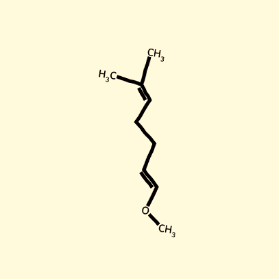 COC=CCCC=C(C)C